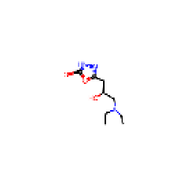 CCN(CC)CC(O)Cc1n[nH]c(=O)o1